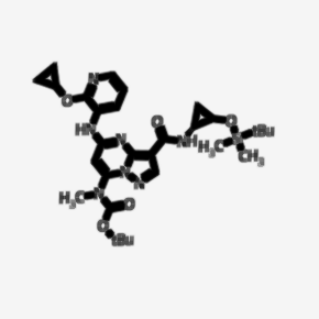 CN(C(=O)OC(C)(C)C)c1cc(Nc2cccnc2OC2CC2)nc2c(C(=O)N[C@H]3CC3O[Si](C)(C)C(C)(C)C)cnn12